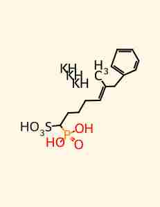 C/C(=C\CCCC(P(=O)(O)O)S(=O)(=O)O)Cc1ccccc1.[KH].[KH].[KH]